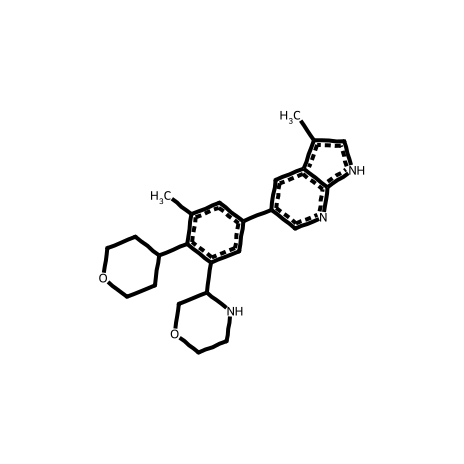 Cc1cc(-c2cnc3[nH]cc(C)c3c2)cc(C2COCCN2)c1C1CCOCC1